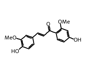 COc1cc(C=CC(=O)c2ccc(O)cc2OC)ccc1O